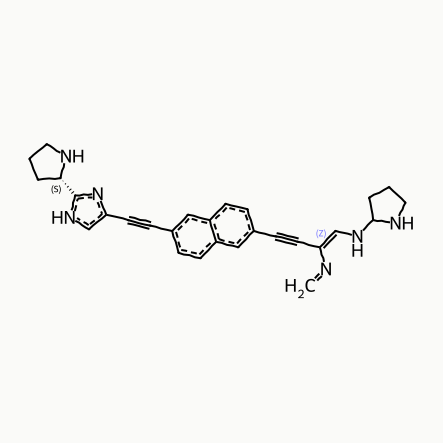 C=N/C(C#Cc1ccc2cc(C#Cc3c[nH]c([C@@H]4CCCN4)n3)ccc2c1)=C\NC1CCCN1